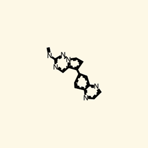 C=Nc1ncc2c(-c3ccc4nccnc4c3)ccn2n1